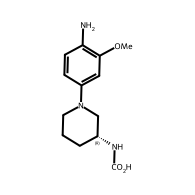 COc1cc(N2CCC[C@@H](NC(=O)O)C2)ccc1N